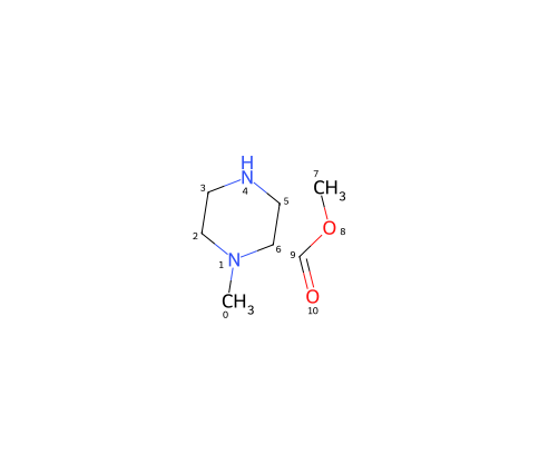 CN1CCNCC1.COC=O